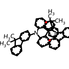 CC1(C)c2ccccc2-c2cc(N(c3ccccc3-c3ccccc3-n3c4ccccc4c4ccccc43)c3cccc4c3-c3ccccc3C4(C)C)ccc21